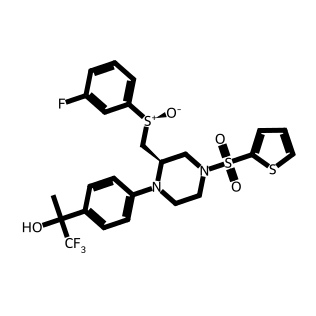 CC(O)(c1ccc(N2CCN(S(=O)(=O)c3cccs3)C[C@@H]2C[S@+]([O-])c2cccc(F)c2)cc1)C(F)(F)F